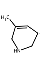 CC1=C[CH]CNC1